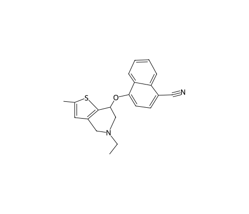 CCN1Cc2cc(C)sc2C(Oc2ccc(C#N)c3ccccc23)C1